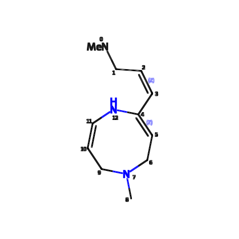 CNC/C=C\C1=C\CN(C)CC=CN1